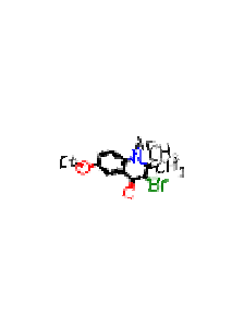 CCOc1ccc2c(c1)C(=O)C(Br)C(C)(C)N2C(C)=O